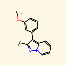 Cc1nn2ccccc2c1-c1c[c]cc(OC(F)(F)F)c1